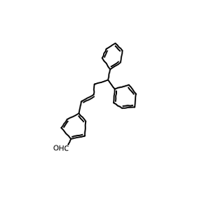 O=Cc1ccc(C=CCC(c2ccccc2)c2ccccc2)cc1